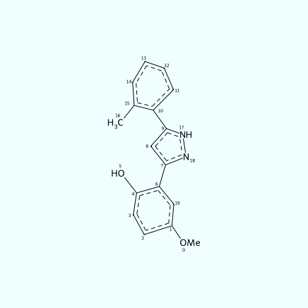 COc1ccc(O)c(-c2cc(-c3ccccc3C)[nH]n2)c1